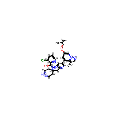 N#Cc1cnn2cc(OCC3(C#N)CC3)cc(-c3ccc(CC4(NC(=O)c5ncccc5Cl)CCNCC4)nc3)c12